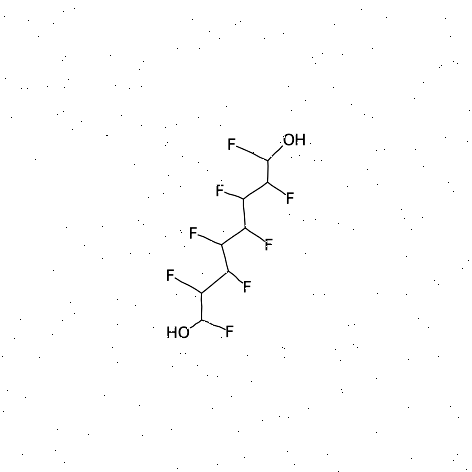 OC(F)C(F)C(F)C(F)C(F)C(F)C(F)C(O)F